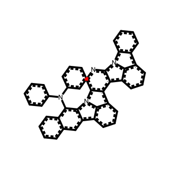 c1ccc(N(c2ccccc2)c2c3ccccc3cc3c4cccc5c6c7c8cccc9c%10ccccc%10n(c7ncc6n(c23)c45)c98)cc1